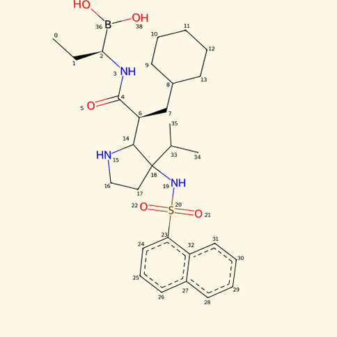 CC[C@H](NC(=O)[C@@H](CC1CCCCC1)C1NCCC1(NS(=O)(=O)c1cccc2ccccc12)C(C)C)B(O)O